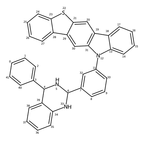 c1ccc(C2NC(c3cccc(-n4c5ccccc5c5cc6sc7ccccc7c6cc54)c3)Nc3ccccc32)cc1